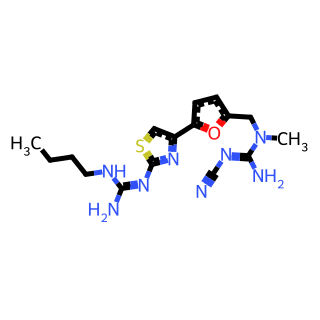 CCCCNC(N)=Nc1nc(-c2ccc(CN(C)C(N)=NC#N)o2)cs1